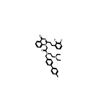 CCN(CC)CCN(Cc1ccc(-c2ccc(C)cc2)cc1)C(=O)Cn1c(CCc2cccc(F)c2F)nc(=O)c2ccccc21